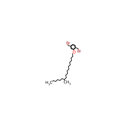 CCCCCCC(C)CCCCCCCCCCCCOc1cc(CBr)ccc1CBr